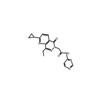 CCc1nn(CC(=O)Nc2ccncn2)c(=O)c2ccc(C3CC3)nc12